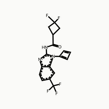 O=C(Nc1nc2ccc(C(F)(F)F)cc2n1C1=CC=C1)C1CC(F)(F)C1